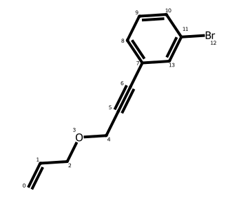 C=CCOCC#Cc1cccc(Br)c1